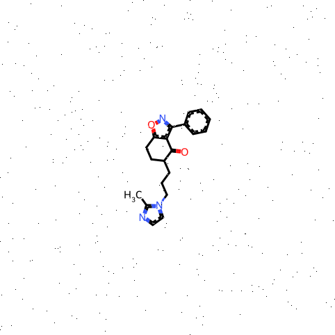 Cc1nccn1CCCC1CCc2onc(-c3ccccc3)c2C1=O